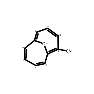 N#CC1=C2C=CC=CC(=CC=C1)O2